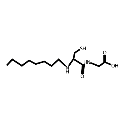 CCCCCCCCNC(CS)C(=O)NCC(=O)O